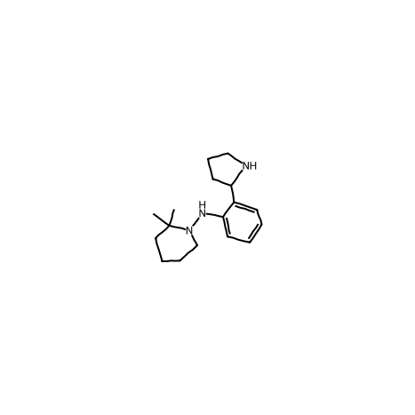 CC1(C)CCCCN1Nc1ccccc1C1CCCN1